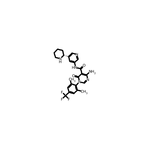 Cc1cc(C(F)(F)F)cc(C)c1-n1cnc(N)c(C(=O)Nc2cncc([C@H]3CCCCN3)c2)c1=O